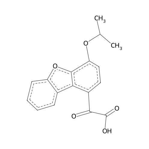 CC(C)Oc1ccc(C(=O)C(=O)O)c2c1oc1ccccc12